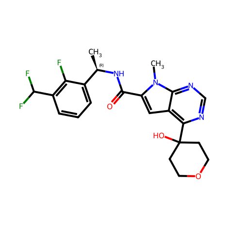 C[C@@H](NC(=O)c1cc2c(C3(O)CCOCC3)ncnc2n1C)c1cccc(C(F)F)c1F